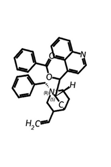 C=CC1C[N@@+]2(Cc3ccccc3)CCC1C[C@H]2C(OC(=O)c1ccccc1)c1ccnc2ccccc12